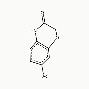 CC(=O)c1ccc2c(c1)OCC(=O)N2